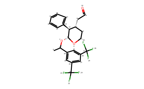 CC(O[C@H]1OCC[C@@H](CC=O)[C@@H]1c1ccccc1)c1cc(C(F)(F)F)cc(C(F)(F)F)c1